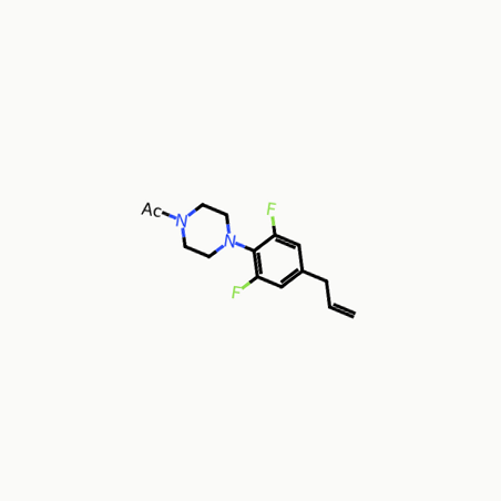 C=CCc1cc(F)c(N2CCN(C(C)=O)CC2)c(F)c1